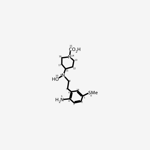 CSc1ccc(N)c(CCN(O)C2CCN(C(=O)O)CC2)c1